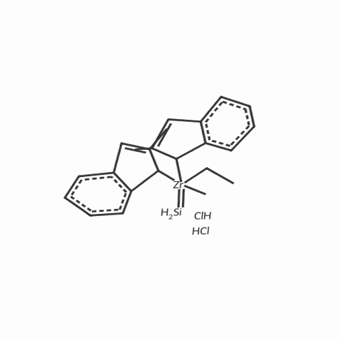 C[CH2][Zr]([CH3])(=[SiH2])([CH]1C(C)=Cc2ccccc21)[CH]1C(C)=Cc2ccccc21.Cl.Cl